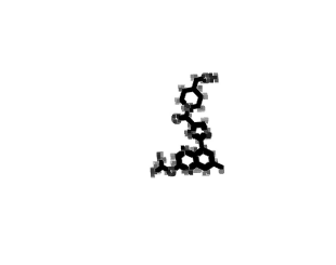 Cc1cc(-c2nc(C(=O)N3CCC(CO)CC3)cs2)c2ncc(OC(F)F)nc2c1